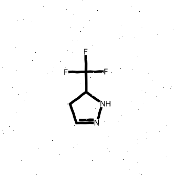 FC(F)(F)C1[CH]C=NN1